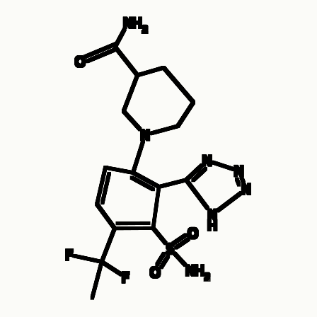 CC(F)(F)c1ccc(N2CCCC(C(N)=O)C2)c(-c2nnn[nH]2)c1S(N)(=O)=O